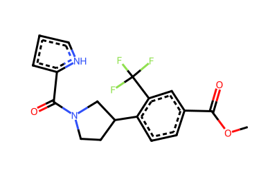 COC(=O)c1ccc(C2CCN(C(=O)c3ccc[nH]3)C2)c(C(F)(F)F)c1